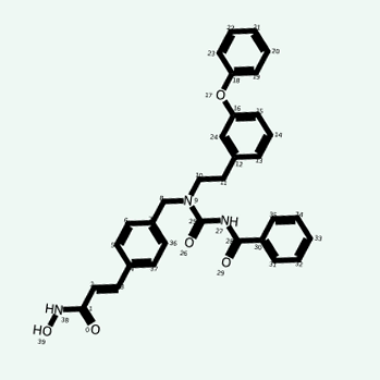 O=C(C=Cc1ccc(CN(CCc2cccc(Oc3ccccc3)c2)C(=O)NC(=O)c2ccccc2)cc1)NO